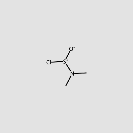 CN(C)[S+]([O-])Cl